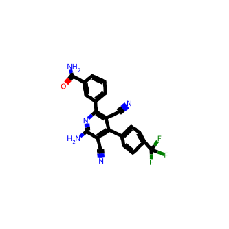 N#Cc1c(N)nc(-c2cccc(C(N)=O)c2)c(C#N)c1-c1ccc(C(F)(F)F)cc1